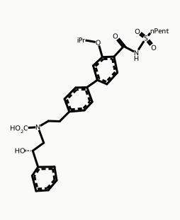 CCCCCS(=O)(=O)NC(=O)c1ccc(-c2ccc(CCN(C[C@@H](O)c3ccccc3)C(=O)O)cc2)cc1OC(C)C